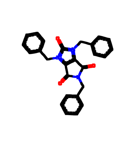 O=C1c2c(n(Cc3ccccc3)c(=O)n2Cc2ccccc2)C(=O)N1Cc1ccccc1